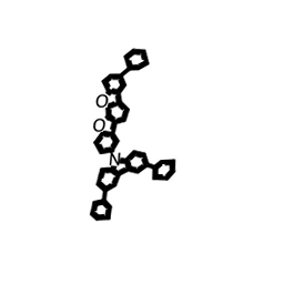 c1ccc(-c2ccc3oc4c(ccc5c6cc(-n7c8ccc(-c9ccccc9)cc8c8cc(-c9ccccc9)ccc87)ccc6oc54)c3c2)cc1